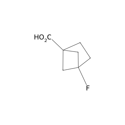 O=C(O)C12CCC(F)(C1)C2